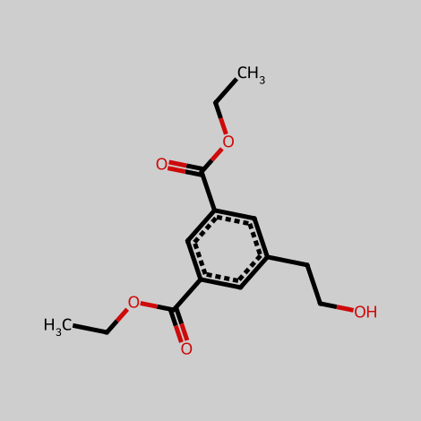 CCOC(=O)c1cc(CCO)cc(C(=O)OCC)c1